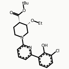 CCO[C@@H]1CN(c2cccc(-c3cccc(Cl)c3O)n2)CC[C@@H]1C(=O)OC(C)(C)C